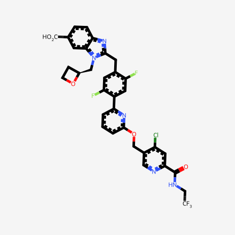 O=C(O)c1ccc2nc(Cc3cc(F)c(-c4cccc(OCc5cnc(C(=O)NCC(F)(F)F)cc5Cl)n4)cc3F)n(C[C@@H]3CCO3)c2c1